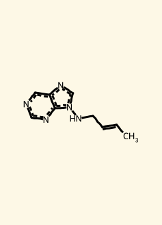 CC=CCNn1cnc2cncnc21